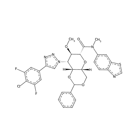 CO[C@@H]1[C@@H](n2cc(-c3cc(F)c(Cl)c(F)c3)nn2)[C@H]2OC(c3ccccc3)OC[C@H]2O[C@H]1C(=O)N(C)c1ccc2ncsc2c1